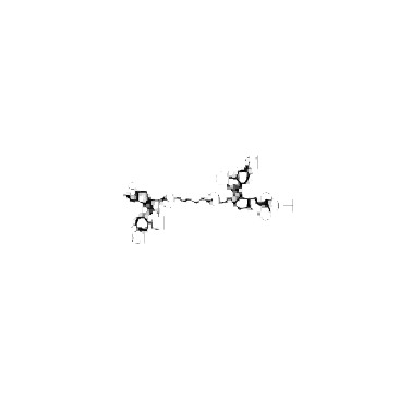 O=S(=O)(O)c1cc2c(s1)Cc1c(COCCCCCCOCc3nn(-c4ccc(Cl)cc4Cl)c4c3Cc3sccc3-4)nn(-c3ccc(Cl)cc3Cl)c1-2